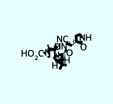 C[C@@H](C(=O)N1C[C@H]2[C@@H]([C@H]1C(=O)N[C@H](C#N)C[C@@H]1CCNC1=O)C2(C)C)N(C)C(=O)O